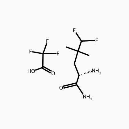 CC(C)(C[C@H](N)C(N)=O)C(F)F.O=C(O)C(F)(F)F